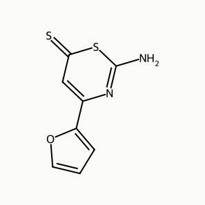 Nc1nc(-c2ccco2)cc(=S)s1